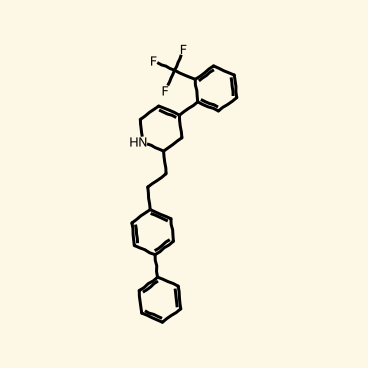 FC(F)(F)c1ccccc1C1=CCNC(CCc2ccc(-c3ccccc3)cc2)C1